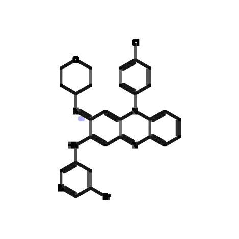 Clc1ccc(-n2c3c/c(=N\C4CCOCC4)c(Nc4cncc(Br)c4)cc-3nc3ccccc32)cc1